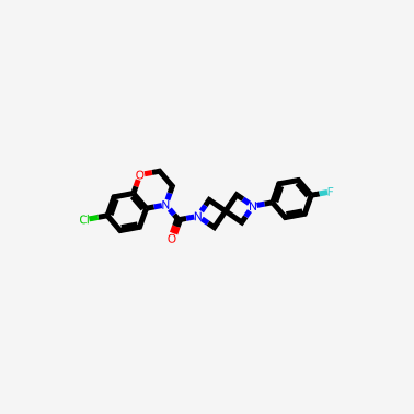 O=C(N1CC2(C1)CN(c1ccc(F)cc1)C2)N1CCOc2cc(Cl)ccc21